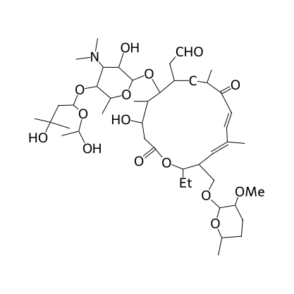 CCC1OC(=O)CC(O)C(C)C(OC2OC(C)C(OC(CC(C)(C)O)OC(C)O)C(N(C)C)C2O)C(CC=O)CC(C)C(=O)/C=C/C(C)=C/C1COC1OC(C)CCC1OC